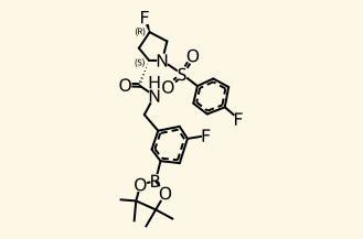 CC1(C)OB(c2cc(F)cc(CNC(=O)[C@@H]3C[C@@H](F)CN3S(=O)(=O)c3ccc(F)cc3)c2)OC1(C)C